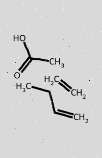 C=C.C=CCC.CC(=O)O